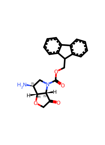 N[C@H]1CN(C(=O)OCC2c3ccccc3-c3ccccc32)[C@@H]2C(=O)CO[C@@H]21